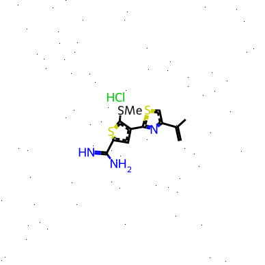 C=C(C)c1csc(-c2cc(C(=N)N)sc2SC)n1.Cl